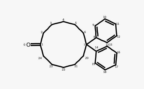 O=C1CCCCCC(c2ccccc2)(c2ccccc2)CCCCC1